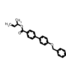 C=CC(C)OC(=O)c1ccc(-c2ccc(OCc3ccccc3)cc2)cc1